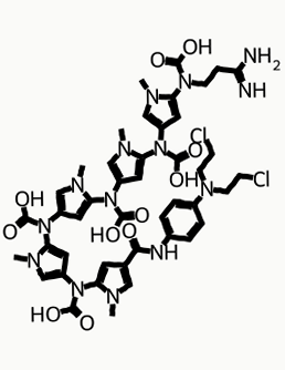 Cn1cc(N(C(=O)O)c2cc(N(C(=O)O)c3cc(N(C(=O)O)c4cc(N(C(=O)O)c5cc(C(=O)Nc6ccc(N(CCCl)CCCl)cc6)cn5C)cn4C)cn3C)cn2C)cc1N(CCC(=N)N)C(=O)O